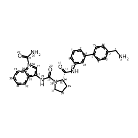 NCc1ccc(-c2cccc(NC(=O)[C@@H]3CCCN3C(=O)Nc3cn(C(N)=O)c4ccccc34)c2)cc1